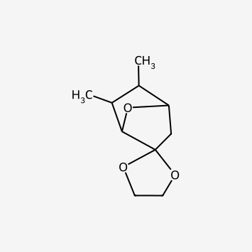 CC1C2CC3(OCCO3)C(O2)C1C